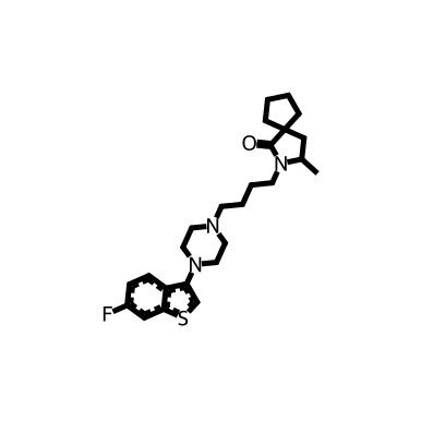 CC1CC2(CCCC2)C(=O)N1CCCCN1CCN(c2csc3cc(F)ccc23)CC1